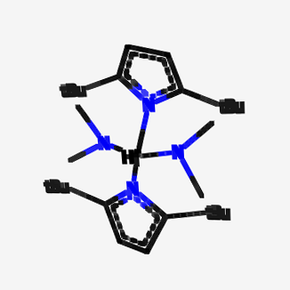 C[N](C)[Hf]([N](C)C)([n]1c(C(C)(C)C)ccc1C(C)(C)C)[n]1c(C(C)(C)C)ccc1C(C)(C)C